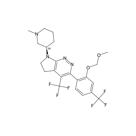 COCOc1cc(C(F)(F)F)ccc1-c1nnc2c(c1C(F)(F)F)CCN2[C@@H]1CCCN(C)C1